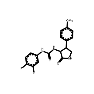 COc1ccc(C2CNC(=O)C2NC(=O)Nc2ccc(F)c(F)c2)cc1